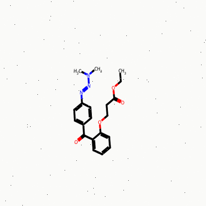 CCOC(=O)CCOc1ccccc1C(=O)c1ccc(N=NN(C)C)cc1